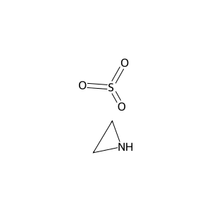 C1CN1.O=S(=O)=O